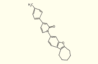 Cc1ccc(-c2ccn(-c3ccc4c5c(oc4c3)CCCCC5)c(=O)c2)cc1